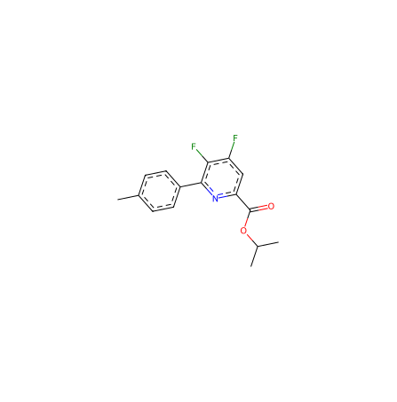 Cc1ccc(-c2nc(C(=O)OC(C)C)cc(F)c2F)cc1